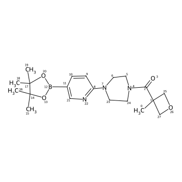 CC1(C(=O)N2CCN(c3ccc(B4OC(C)(C)C(C)(C)O4)cn3)CC2)COC1